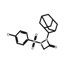 O=C1CN(S(=O)(=O)c2ccc(Cl)cc2)N1C1C2CC3CC(C2)CC1C3